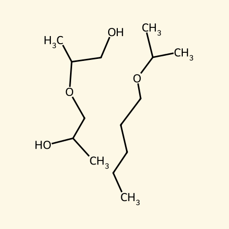 CC(O)COC(C)CO.CCCCCOC(C)C